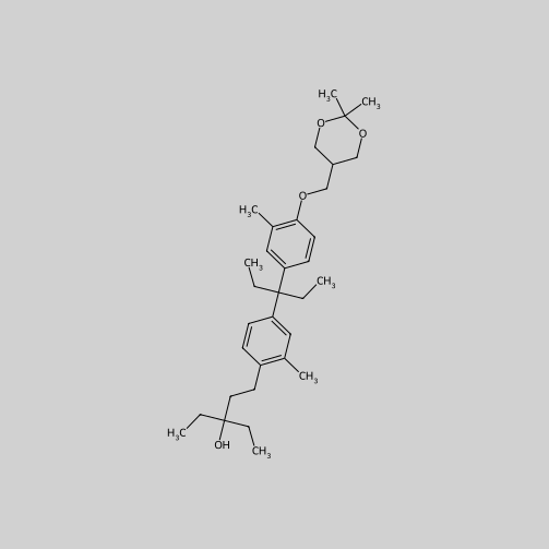 CCC(O)(CC)CCc1ccc(C(CC)(CC)c2ccc(OCC3COC(C)(C)OC3)c(C)c2)cc1C